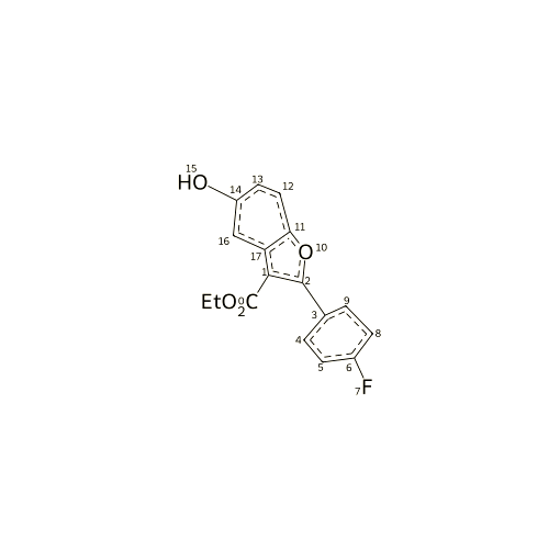 CCOC(=O)c1c(-c2ccc(F)cc2)oc2ccc(O)cc12